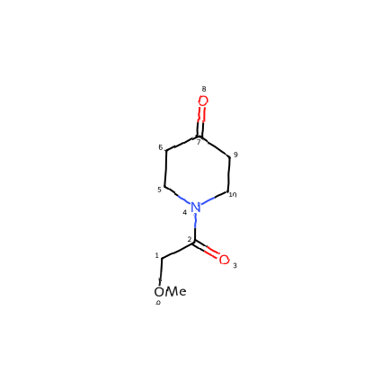 COCC(=O)N1CCC(=O)CC1